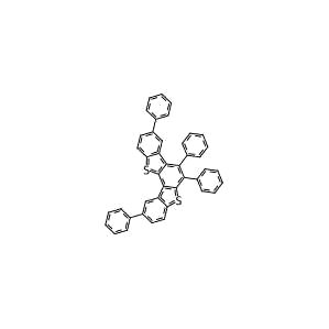 c1ccc(-c2ccc3sc4c(c(-c5ccccc5)c(-c5ccccc5)c5sc6ccc(-c7ccccc7)cc6c54)c3c2)cc1